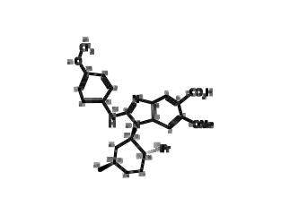 COc1cc2c(cc1C(=O)O)nc(Nc1ccc(OC(F)(F)F)cc1)n2[C@@H]1C[C@H](C)CC[C@H]1C(C)C